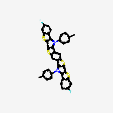 Cc1ccc(-n2c3c4ccc(F)cc4sc3c3sc4cc5c(cc4c32)sc2c3sc4cc(F)ccc4c3n(-c3ccc(C)cc3)c52)cc1